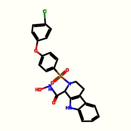 O=C(NO)C1c2[nH]c3ccccc3c2CCN1S(=O)(=O)c1ccc(Oc2ccc(Cl)cc2)cc1